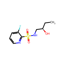 CC[C@@H](O)CNS(=O)(=O)c1ncccc1F